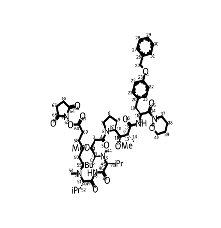 CC[C@H](C)[C@@H]([C@@H](CC(=O)N1CCC[C@H]1[C@H](OC)[C@@H](C)C(=O)N[C@@H](Cc1ccc(OCc2ccccc2)cc1)C(=O)N1CCCCO1)OC)N(C)[C@H](C(=O)NC(=O)[C@H](C(C)C)N(C)CCCCCC(=O)ON1C(=O)CCC1=O)C(C)C